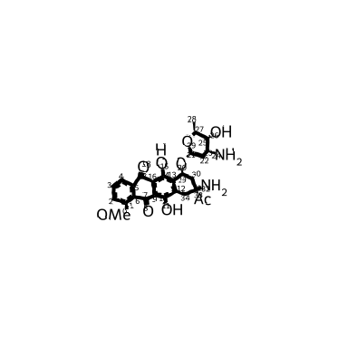 COc1cccc2c1C(=O)c1c(O)c3c(c(O)c1C2=O)[C@@H](O[C@H]1C[C@H](N)[C@H](O)[C@H](C)O1)C[C@](N)(C(C)=O)C3